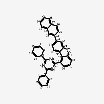 C1=CCC(c2nc(-c3ccccc3)nc(-c3cccc4oc5cc(-c6ccc7ccccc7c6)ccc5c34)n2)C=C1